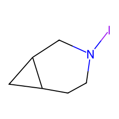 IN1CCC2CC2C1